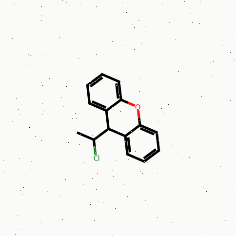 CC(Cl)C1c2ccccc2Oc2ccccc21